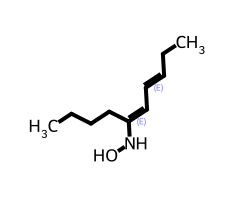 CC/C=C/C=C(\CCCC)NO